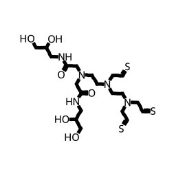 O=C(CN(CCN(CC=S)CCN(CC=S)CC=S)CC(=O)NCC(O)CO)NCC(O)CO